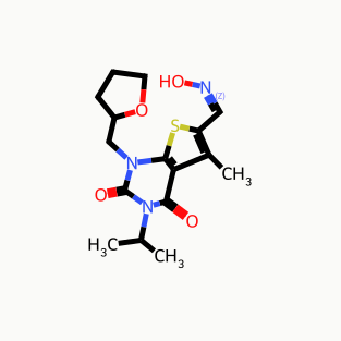 Cc1c(/C=N\O)sc2c1c(=O)n(C(C)C)c(=O)n2CC1CCCO1